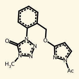 CC(=O)n1ccc(OCc2ccccc2-n2nnn(C)c2=O)n1